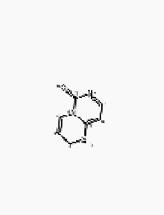 O=c1nccc2n1C=CCS2